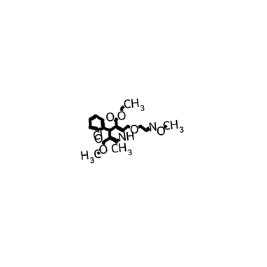 CCOC(=O)C1=C(COC/C=N/OC)NC(C)=C(C(=O)OC)C1c1ccccc1Cl